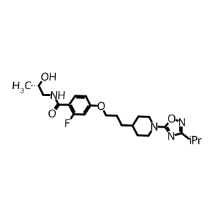 CC(C)c1noc(N2CCC(CCCOc3ccc(C(=O)NC[C@H](C)O)c(F)c3)CC2)n1